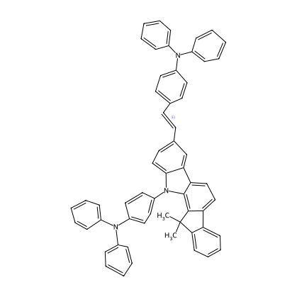 CC1(C)c2ccccc2-c2ccc3c4cc(/C=C/c5ccc(N(c6ccccc6)c6ccccc6)cc5)ccc4n(-c4ccc(N(c5ccccc5)c5ccccc5)cc4)c3c21